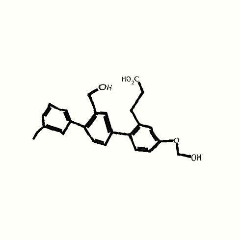 Cc1cccc(-c2ccc(-c3ccc(OCO)cc3CCC(=O)O)cc2CO)c1